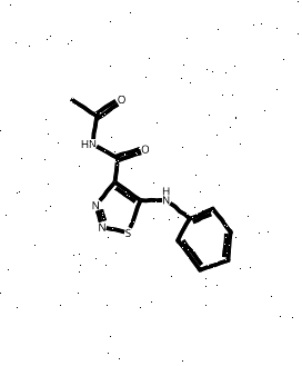 CC(=O)NC(=O)c1nnsc1Nc1ccccc1